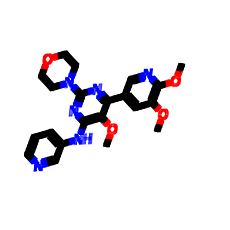 COc1cc(-c2nc(N3CCOCC3)nc(Nc3cccnc3)c2OC)cnc1OC